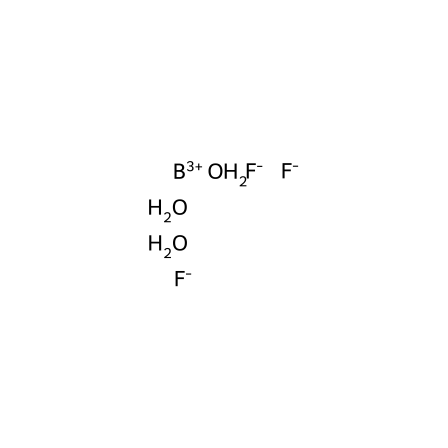 O.O.O.[B+3].[F-].[F-].[F-]